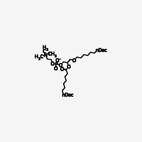 CCCCCCCCCCCCCCCCOC[C@H](COP(=O)([O-])OCC[N+](C)(C)C)OC(=O)CCCCCCCCCCCCCCCC